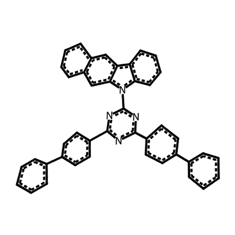 c1ccc(-c2ccc(-c3nc(-c4ccc(-c5ccccc5)cc4)nc(-n4c5ccccc5c5cc6ccccc6cc54)n3)cc2)cc1